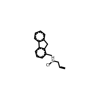 C=CC[SiH](Cl)Cc1cccc2c1Cc1ccccc1-2